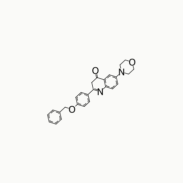 O=C1CC(c2ccc(OCc3ccccc3)cc2)=Nc2ccc(N3CCOCC3)cc21